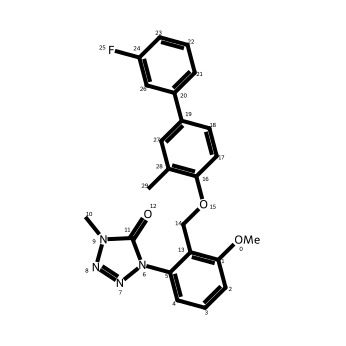 COc1cccc(-n2nnn(C)c2=O)c1COc1ccc(-c2cccc(F)c2)cc1C